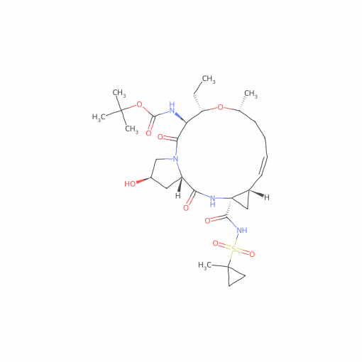 CC[C@@H]1O[C@H](C)CC/C=C\[C@@H]2C[C@@]2(C(=O)NS(=O)(=O)C2(C)CC2)NC(=O)[C@@H]2C[C@@H](O)CN2C(=O)[C@H]1NC(=O)OC(C)(C)C